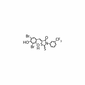 O=C1C(=Cc2cc(Br)c(O)c(Br)c2O)SC(=S)N1c1cccc(C(F)(F)F)c1